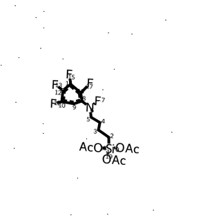 CC(=O)O[Si](CCCCN(F)c1cc(F)c(F)c(F)c1F)(OC(C)=O)OC(C)=O